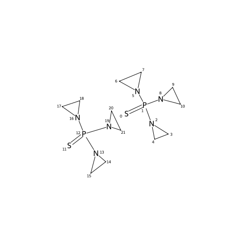 S=P(N1CC1)(N1CC1)N1CC1.S=P(N1CC1)(N1CC1)N1CC1